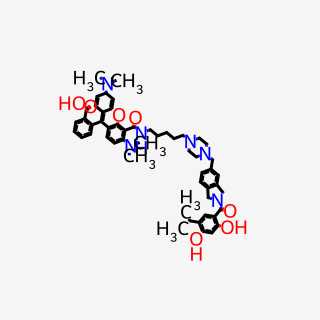 CC(C)c1cc(C(=O)N2Cc3ccc(CN4CCN(CCCCCNC(=O)c5c(N(C)C)ccc6c5OC5=CC(N(C)C)C=CC5=C6c5ccccc5C(=O)O)CC4)cc3C2)c(O)cc1O